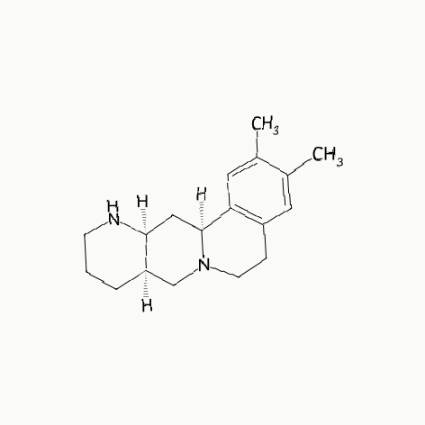 Cc1cc2c(cc1C)[C@@H]1C[C@@H]3NCCC[C@@H]3CN1CC2